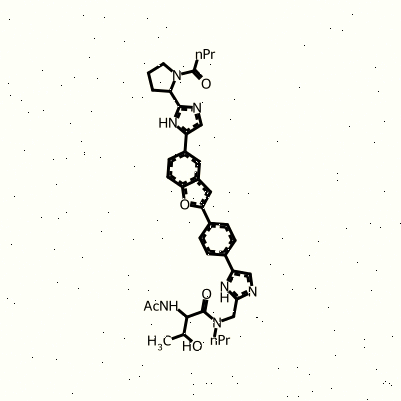 CCCC(=O)N1CCCC1c1ncc(-c2ccc3oc(-c4ccc(-c5cnc(CN(CCC)C(=O)C(NC(C)=O)C(C)O)[nH]5)cc4)cc3c2)[nH]1